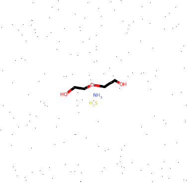 N.OCCOCCO.S